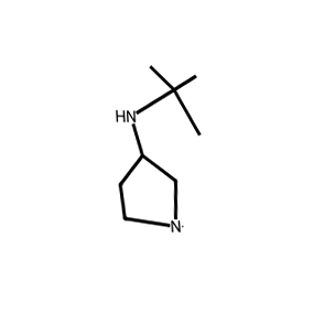 CC(C)(C)NC1CC[N]C1